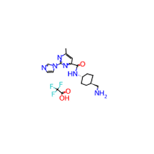 Cc1cc(C(=O)N[C@H]2CC[C@H](CN)CC2)nc(-n2ccnc2)n1.O=C(O)C(F)(F)F